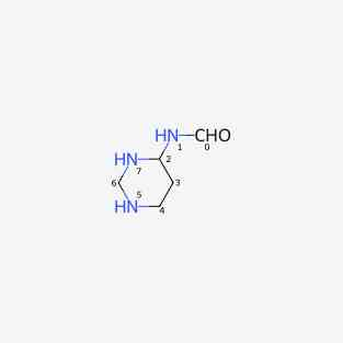 O=CNC1CCNCN1